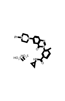 CS(=O)(=O)O.CS(=O)(=O)O.Cc1ccc(C(=O)NC2CC2)cc1-n1cnc2ccc(N3CCN(C(C)C)CC3)cc2c1=O